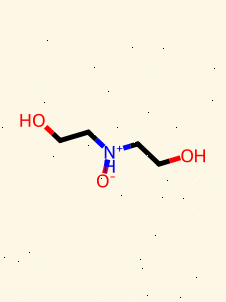 [O-][NH+](CCO)CCO